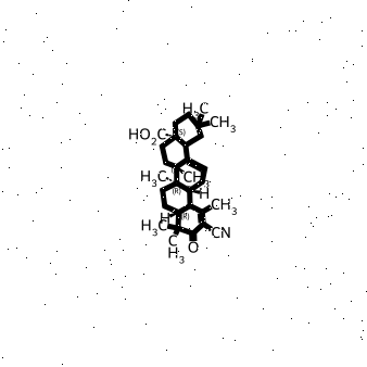 CC1=C(C#N)C(=O)C(C)(C)[C@@H]2CC[C@]3(C)[C@H](CC=C4C5CC(C)(C)CC[C@]5(C(=O)O)CC[C@]43C)C12